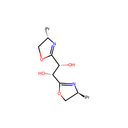 CC(C)[C@H]1COC([C@H](O)[C@@H](O)C2=N[C@@H](C(C)C)CO2)=N1